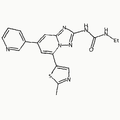 CCNC(=O)Nc1nc2cc(-c3cccnc3)cc(-c3cnc(C)s3)n2n1